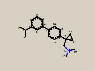 CC(C)c1cccc(-c2ccc(C3(CN(C)C)CC3)cc2)c1